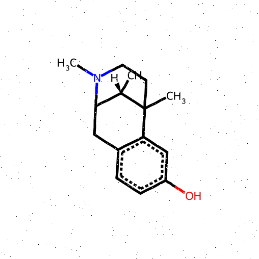 C[C@H]1C2Cc3ccc(O)cc3C1(C)CCN2C